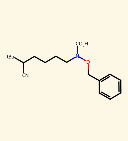 CC(C)(C)C(C#N)CCCCN(OCc1ccccc1)C(=O)O